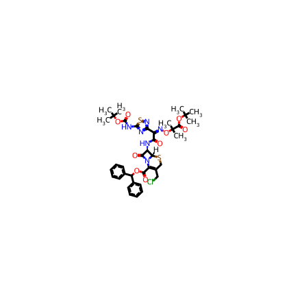 CC(C)(C)OC(=O)Nc1nc(/C(=N/OC(C)(C)C(=O)OC(C)(C)C)C(=O)N[C@@H]2C(=O)N3C(C(=O)OC(c4ccccc4)c4ccccc4)=C(CCl)CS[C@@H]23)ns1